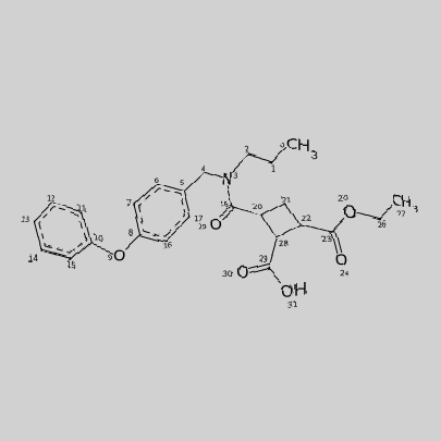 CCCN(Cc1ccc(Oc2ccccc2)cc1)C(=O)C1CC(C(=O)OCC)C1C(=O)O